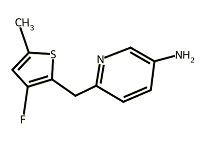 Cc1cc(F)c(Cc2ccc(N)cn2)s1